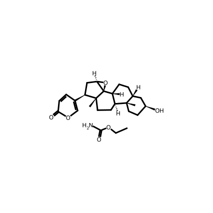 CCOC(N)=O.C[C@]12CC[C@H](O)C[C@H]1CC[C@@H]1[C@@H]2CC[C@]2(C)[C@@H](c3ccc(=O)oc3)C[C@H]3O[C@]132